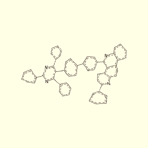 c1ccc(-c2ccc3c(ccc4c5ccccc5nc(-c5ccc(-c6ccc(-c7c(-c8ccccc8)nc(-c8ccccc8)nc7-c7ccccc7)cc6)cc5)c34)n2)cc1